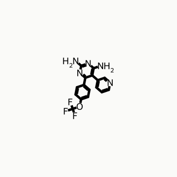 Nc1nc(N)c(-c2cccnc2)c(-c2ccc(OC(F)(F)F)cc2)n1